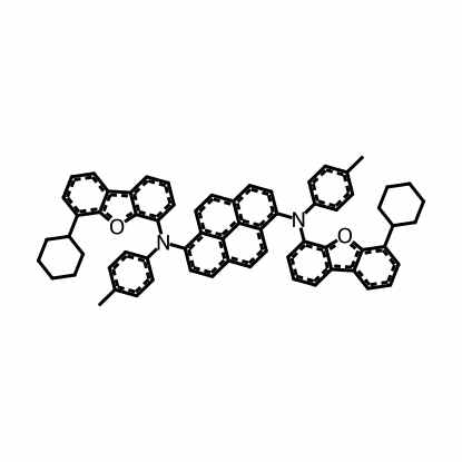 Cc1ccc(N(c2ccc3ccc4c(N(c5ccc(C)cc5)c5cccc6c5oc5c(C7CCCCC7)cccc56)ccc5ccc2c3c54)c2cccc3c2oc2c(C4CCCCC4)cccc23)cc1